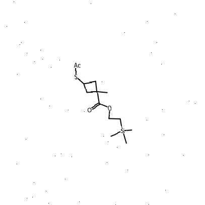 CC(=O)SC1CC(C)(C(=O)OCC[Si](C)(C)C)C1